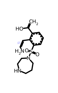 C=C(O)c1cccc(S(=O)(=O)N2CCCNCC2)c1/C=C\N